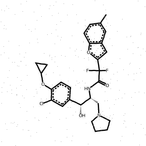 Cc1ccc2oc(C(F)(F)C(=O)N[C@H](CN3CCCC3)[C@H](O)c3ccc(OC4CC4)c(Cl)c3)cc2c1